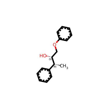 C[C@H](c1ccccc1)[C@H](O)COc1ccccc1